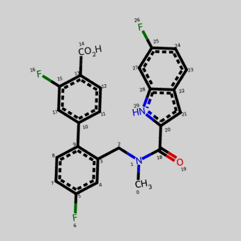 CN(Cc1cc(F)ccc1-c1ccc(C(=O)O)c(F)c1)C(=O)c1cc2ccc(F)cc2[nH]1